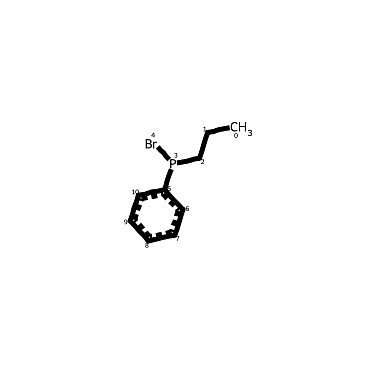 CCCP(Br)c1ccccc1